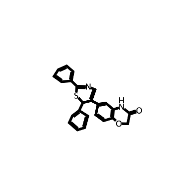 O=C1COc2ccc(C3=CN=C(c4ccccc4)SC3c3ccccc3)cc2N1